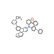 CC1C=C(c2ccc3c(c2)C2C=C(N(c4ccc(-c5ccccc5)cc4)c4cccc5oc6ccccc6c45)C=CC2C32C3CC4CC(C3)CC2C4)C=CC1